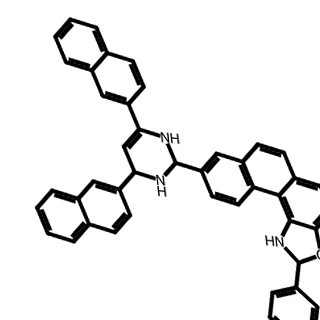 C1=C(c2ccc3ccccc3c2)NC(c2ccc3c(ccc4ccc5c(c43)NC(c3ccccc3)O5)c2)NC1c1ccc2ccccc2c1